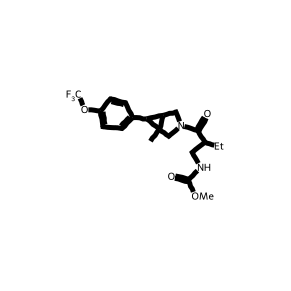 CCC(CNC(=O)OC)C(=O)N1CC2C(c3ccc(OC(F)(F)F)cc3)C2(C)C1